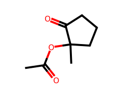 CC(=O)OC1(C)CCCC1=O